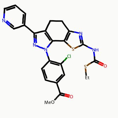 CCSC(=O)Nc1nc2c(s1)-c1c(c(-c3cccnc3)nn1-c1ccc(C(=O)OC)cc1Cl)CC2